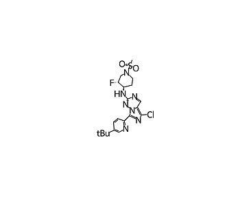 CC(C)(C)c1ccc(-c2nc(Cl)c3cnc(N[C@@H]4CCN(S(C)(=O)=O)C[C@H]4F)nn23)nc1